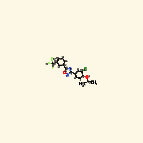 CC(C)Oc1ccc(-c2noc(-c3cccc(C(F)(F)F)c3)n2)cc1Cl